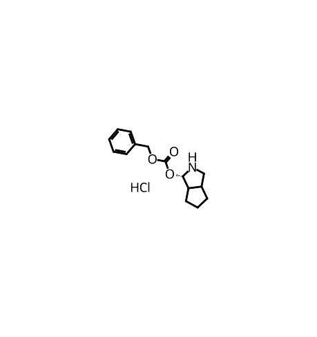 Cl.O=C(OCc1ccccc1)O[C@@H]1NCC2CCCC21